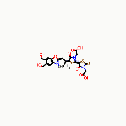 C/C(C=C1Oc2cc(CO)c(CO)cc2N1C)=c1\s/c(=C2/SC(=S)N(CC(=O)O)C2=O)n(CC(=O)O)c1=O